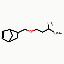 COC(C)CCOCC1CC2C=CC1C2